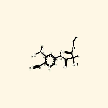 CCOC(=O)C(C)(O)C(=O)Nc1cnc(C#N)c([S+](C)[O-])c1